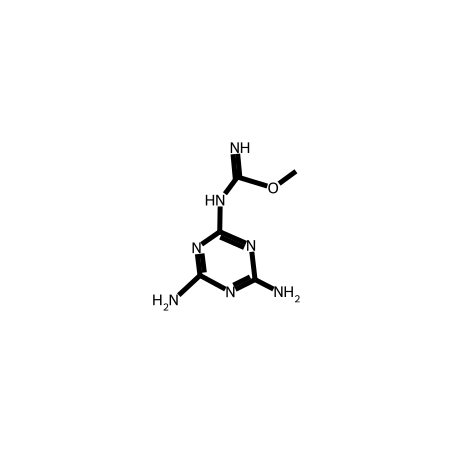 COC(=N)Nc1nc(N)nc(N)n1